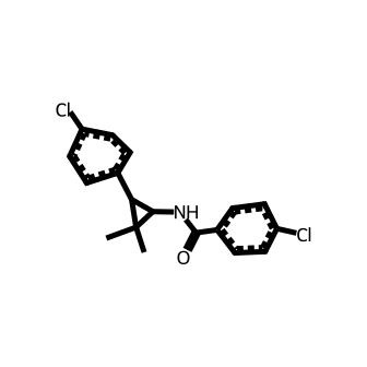 CC1(C)C(NC(=O)c2ccc(Cl)cc2)C1c1ccc(Cl)cc1